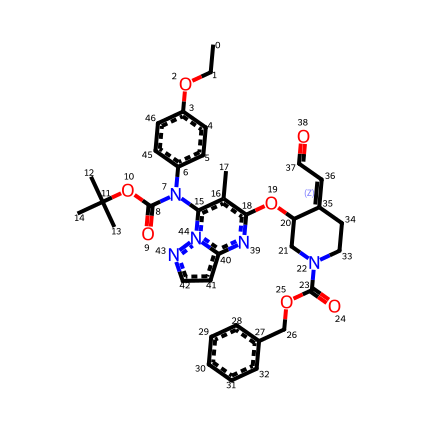 CCOc1ccc(N(C(=O)OC(C)(C)C)c2c(C)c(OC3CN(C(=O)OCc4ccccc4)CC/C3=C/C=O)nc3ccnn23)cc1